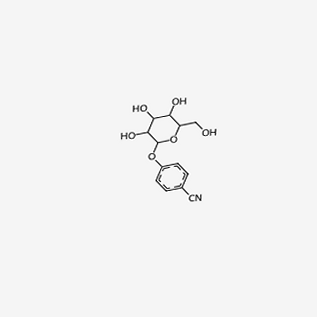 N#Cc1ccc(OC2OC(CO)C(O)C(O)C2O)cc1